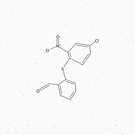 O=Cc1ccccc1Sc1ccc(Cl)cc1[N+](=O)[O-]